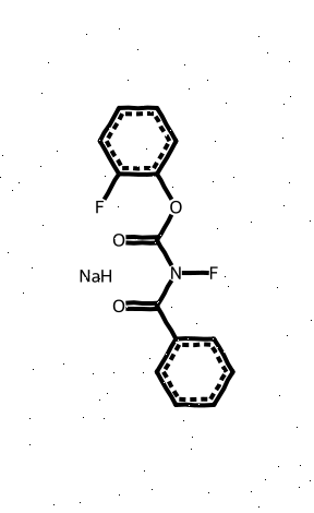 O=C(Oc1ccccc1F)N(F)C(=O)c1ccccc1.[NaH]